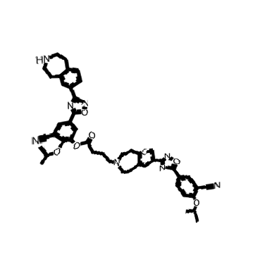 CC(C)Oc1ccc(-c2nc(-c3ccc4c(c3)CCN(CCCC(=O)Oc3cc(-c5nc(-c6ccc7c(c6)CCNCC7)no5)cc(C#N)c3OC(C)C)CC4)no2)cc1C#N